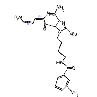 C=C1/C(=C\C=C/N)N=C(N)C2N=C(CCCC)N(CCCCNC(=O)c3cccc(N)c3)C12